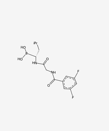 CC(C)C[C@H](NC(=O)CNC(=O)c1cc(F)cc(F)c1)B(O)O